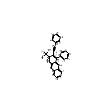 FC(F)(F)c1nc2cc3ccccc3cc2c(-c2ccccc2)c1C#Cc1ccccc1